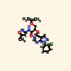 Cc1cc(NC(=O)C(COC(C)C)Oc2ncnc3c2cnn3-c2ccccc2Cl)no1